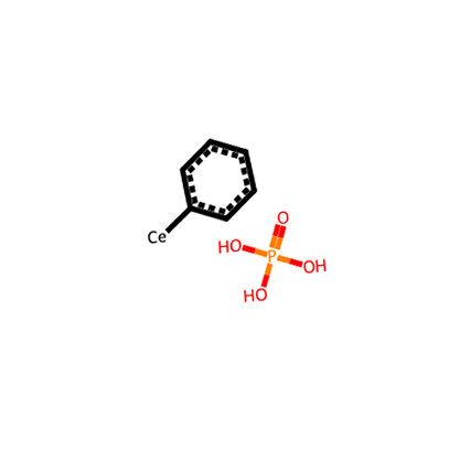 O=P(O)(O)O.[Ce][c]1ccccc1